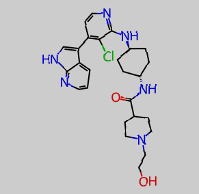 O=C(N[C@H]1CC[C@H](Nc2nccc(-c3c[nH]c4ncccc34)c2Cl)CC1)C1CCN(CCO)CC1